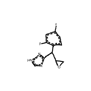 Fc1ccc(C(c2nc[nH]n2)C2CO2)c(F)c1